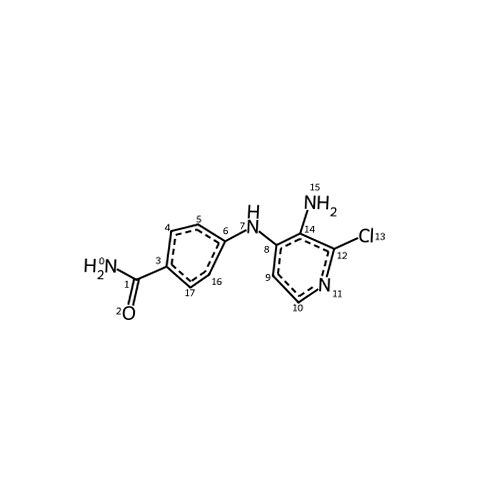 NC(=O)c1ccc(Nc2ccnc(Cl)c2N)cc1